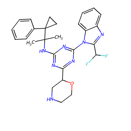 CC(C)(Nc1nc(C2CNCCO2)nc(-n2c(C(F)F)nc3ccccc32)n1)C1(c2ccccc2)CC1